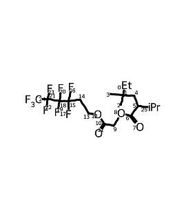 CCC(C)(C)CC(C(=O)OCC(=O)OCCC(F)(F)C(F)(F)C(F)(F)C(F)(F)F)C(C)C